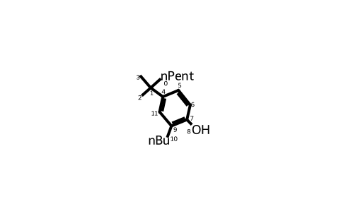 CCCCCC(C)(C)c1ccc(O)c(CCCC)c1